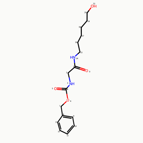 O=C(CNC(=O)OCc1ccccc1)NCCCCCCO